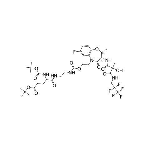 C[C@H]1Oc2ccc(F)cc2N(CCOC(=O)NCCNC(=O)C(CCC(=O)OC(C)(C)C)NC(=O)OC(C)(C)C)C(=O)[C@H]1NC(=O)C(C)(O)C(=O)NCC(F)(F)C(F)(F)F